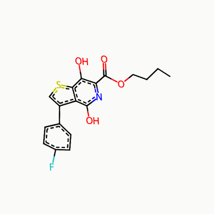 CCCCOC(=O)c1nc(O)c2c(-c3ccc(F)cc3)csc2c1O